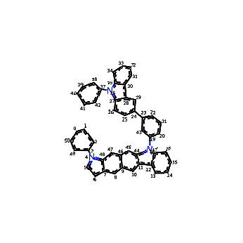 c1ccc(-n2ccc3cc4cc5c6ccccc6n(-c6cccc(-c7ccc8c(c7)c7ccccc7n8-c7ccccc7)c6)c5cc4cc32)cc1